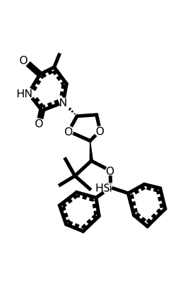 Cc1cn([C@@H]2CO[C@@H](C(O[SiH](c3ccccc3)c3ccccc3)C(C)(C)C)O2)c(=O)[nH]c1=O